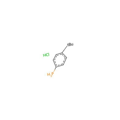 CC(C)(C)c1ccc(P)cc1.Cl